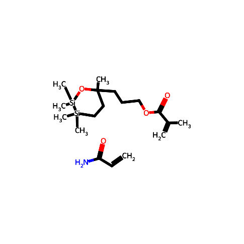 C=C(C)C(=O)OCCCC1(C)CC[Si](C)(C)[Si](C)(C)O1.C=CC(N)=O